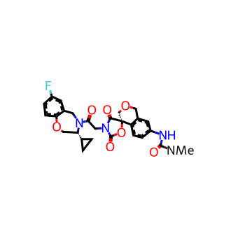 CNC(=O)Nc1ccc2c(c1)COC[C@@]21OC(=O)N(CC(=O)N2Cc3cc(F)ccc3OC[C@H]2C2CC2)C1=O